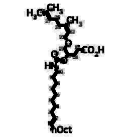 CCCCCCCCC=CCCCCCCCCNC(=O)OC(CCC(=O)O)COCC=C(C)CCC=C(C)C